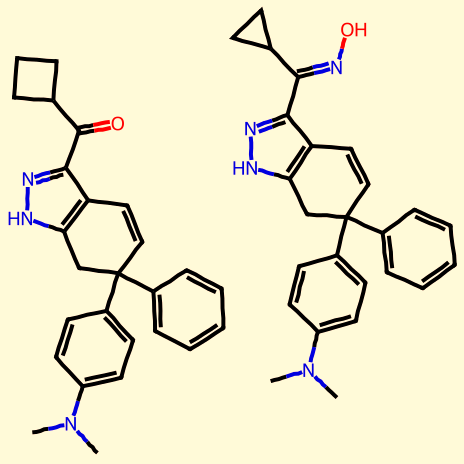 CN(C)c1ccc(C2(c3ccccc3)C=Cc3c(C(=NO)C4CC4)n[nH]c3C2)cc1.CN(C)c1ccc(C2(c3ccccc3)C=Cc3c(C(=O)C4CCC4)n[nH]c3C2)cc1